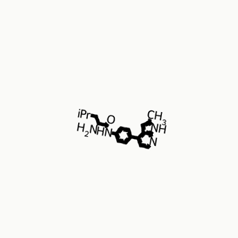 Cc1cc2c(-c3ccc(NC(=O)[C@H](N)CC(C)C)cc3)ccnc2[nH]1